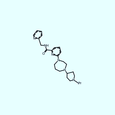 CC(C)N1CCC(N2CCCN(c3cccc(C(=O)NCc4ccccn4)n3)CC2)CC1